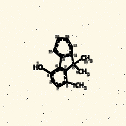 Cc1ccc(O)c2c1C(C)(C)c1ccccc1-2